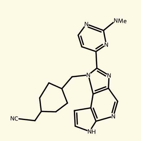 CNc1nccc(-c2nc3cnc4[nH]ccc4c3n2CC2CCC(CC#N)CC2)n1